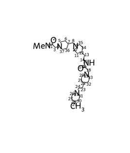 CNC(=O)CN1CCC(CN2CCC(CCNC(=O)CN3CCC(CCN4CCC(C)CC4)CC3)CC2)CC1